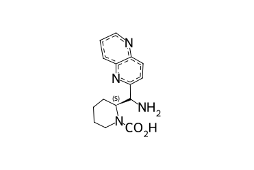 NC(c1ccc2ncccc2n1)[C@@H]1CCCCN1C(=O)O